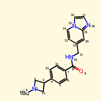 CC(C)(C)N1CC(c2ccc(C(=O)NCc3ccn4ccnc4c3)cc2)C1